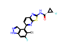 CCc1c(F)cc2[nH]ncc2c1-c1ccc2nc(NC(=O)[C@@H]3C[C@@H]3F)sc2n1